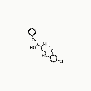 NC(CCNc1ccc(Cl)cc1Cl)C(O)COc1ccccc1